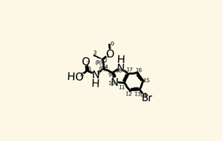 CO[C@H](C)[C@H](NC(=O)O)c1nc2cc(Br)ccc2[nH]1